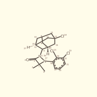 CC1(C)C(=O)N(C2[C@@H]3CC4C[C@H]2CC(Cl)(C4)C3)N1c1cccc(Cl)c1Cl